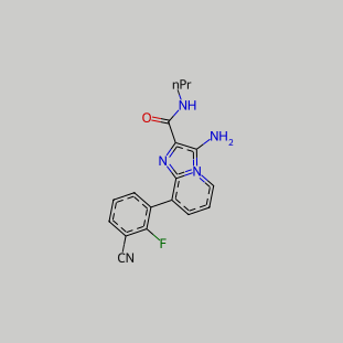 CCCNC(=O)c1nc2c(-c3cccc(C#N)c3F)cccn2c1N